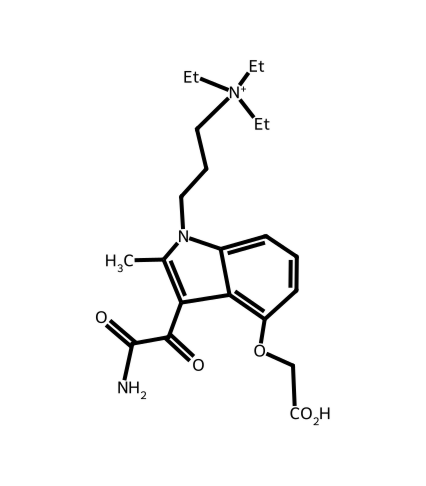 CC[N+](CC)(CC)CCCn1c(C)c(C(=O)C(N)=O)c2c(OCC(=O)O)cccc21